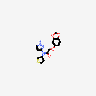 O=C(COc1ccc2c(c1)OCO2)N(c1cc[nH]n1)C1CCSC1